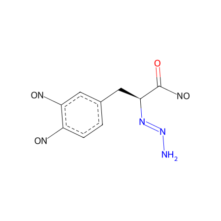 NN=N[C@@H](Cc1ccc(N=O)c(N=O)c1)C(=O)N=O